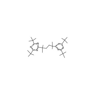 CC(C)(C)c1cc(C(C)(C)C)nc(C(C)(C)CCC(C)(C)c2nc(C(C)(C)C)nc(C(C)(C)C)n2)c1